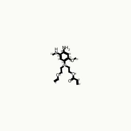 C=COCCN(CCOC(=O)C=C)c1cc(NC)c(N)cc1OC